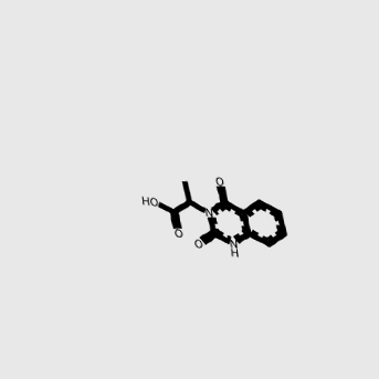 CC(C(=O)O)n1c(=O)[nH]c2ccccc2c1=O